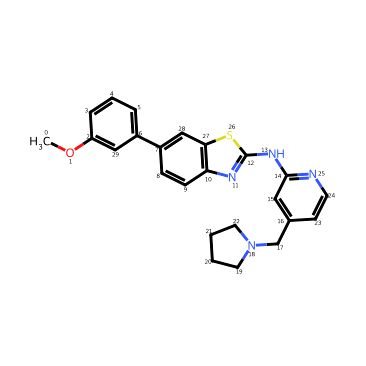 COc1cccc(-c2ccc3nc(Nc4cc(CN5CCCC5)ccn4)sc3c2)c1